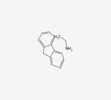 CCN.c1ccc2c(c1)Cc1ccccc1-2